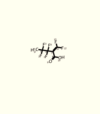 CC(F)(F)C(F)(F)C(C(=O)O)=C(F)F